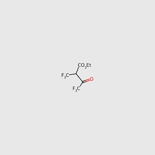 CCOC(=O)C(C(=O)C(F)(F)F)C(F)(F)F